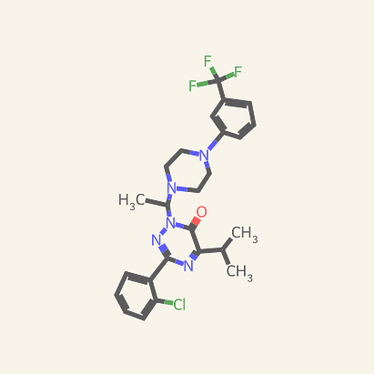 CC(C)c1nc(-c2ccccc2Cl)nn(C(C)N2CCN(c3cccc(C(F)(F)F)c3)CC2)c1=O